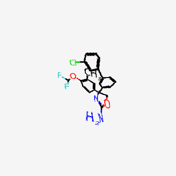 Cc1cc([C@@]2(c3cccc(-c4cccc(Cl)c4)c3)COC(N)=N2)ccc1OC(F)F